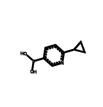 OB(O)c1ccc(C2CC2)nc1